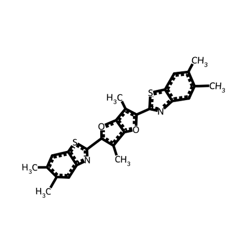 Cc1cc2nc(-c3oc4c(C)c(-c5nc6cc(C)c(C)cc6s5)oc4c3C)sc2cc1C